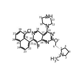 CN1CCC[C@H]1COc1nc(N2CCNCC2)c2cnc(-c3cccc4cccc(Cl)c34)c(F)c2n1